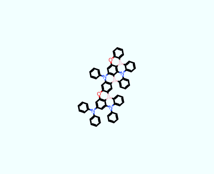 c1ccc(N(c2ccccc2)c2cc3c4c(c2)N(c2ccccc2)c2ccccc2B4c2cc4c(cc2O3)N(c2ccccc2)c2cc3c5c6c2B4c2ccccc2N6c2ccccc2B5c2ccccc2O3)cc1